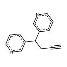 C#CCC(c1cccnc1)c1cccnc1